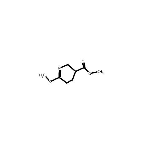 COC(=O)C1CCC(SC)=NC1